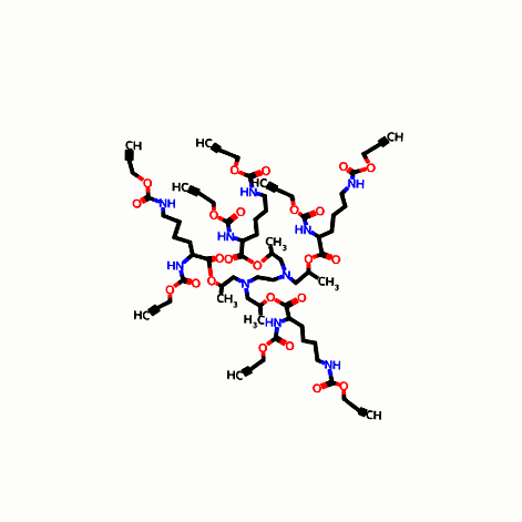 C#CCOC(=O)NCCCCC(NC(=O)OCC#C)C(=O)OC(C)CN(CCN(CC(C)OC(=O)C(CCCCNC(=O)OCC#C)NC(=O)OCC#C)CC(C)OC(=O)C(CCCCNC(=O)OCC#C)NC(=O)OCC#C)CC(C)OC(=O)C(CCCCNC(=O)OCC#C)NC(=O)OCC#C